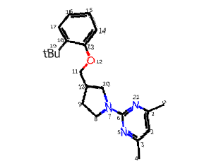 Cc1cc(C)nc(N2CCC(COc3ccccc3C(C)(C)C)C2)n1